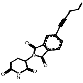 CCCC#Cc1ccc2c(c1)C(=O)N(C1CCC(=O)NC1=O)C2=O